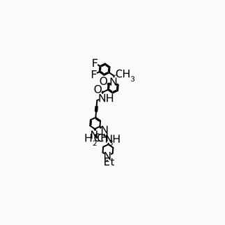 C=C(/N=C1/C=C(C#CCNC(=O)c2cccn([C@@H](C)c3ccc(F)c(F)c3)c2=O)C=C/C1=N/C)NC1CCN(CC)CC1